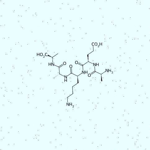 C[C@H](N)C(=O)N[C@H](CCC(=O)O)C(=O)N[C@@H](CCCCN)C(=O)N[C@H](C)C(=O)N[C@H](C)C(=O)O